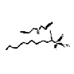 C=CCNCC=C.CCCCCCCCCC(I)S(=O)(=O)O